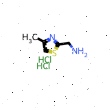 Cc1csc(CN)n1.Cl.Cl